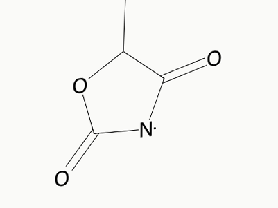 CC1OC(=O)[N]C1=O